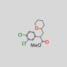 COC(=O)C(CC1CCCCO1)c1ccc(Cl)c(Cl)c1